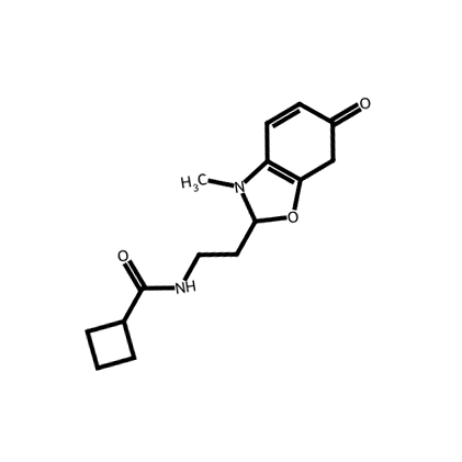 CN1C2=C(CC(=O)C=C2)OC1CCNC(=O)C1CCC1